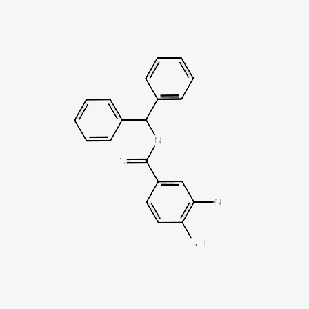 N=C(NC(c1ccccc1)c1ccccc1)c1ccc(N)c([N+](=O)[O-])c1